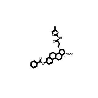 CC(=O)O[C@H]1C[C@@H](CCC(=O)Nc2ncc(C)s2)C2C3CCc4cc(OC(=O)c5ccccc5)ccc4C3CC[C@@]21C